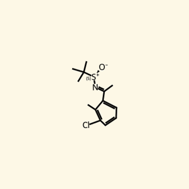 CC(=N[S@+]([O-])C(C)(C)C)c1cccc(Cl)c1C